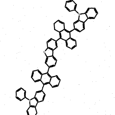 C1=Cc2c(c(-c3ccc4oc5cc(-c6c7ccccc7c(-c7ccc8c9c(n(-c%10ccccc%10)c8c7)C=CCC9)c7ccccc67)ccc5c4c3)c3ccccc3c2-c2ccc3c4ccccc4n(-c4ccccc4)c3c2)CC1